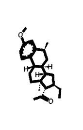 CC[C@@H]1C[C@H]2[C@@H]3C[C@H](C)c4cc(OC)ccc4[C@H]3CC[C@]2(C)[C@H]1C(C)=O